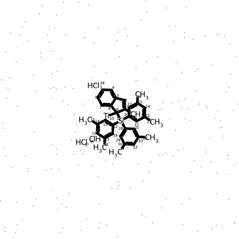 CC1=Cc2ccccc2[C]1([Ti])[Si](c1cc(C)cc(C)c1)(c1cc(C)cc(C)c1)c1cc(C)cc(C)c1.Cl.Cl.Cl